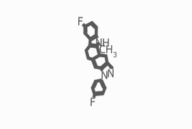 CC12Cc3cnn(-c4ccc(F)cc4)c3C=C1CCc1c2[nH]c2ccc(F)cc12